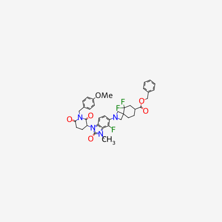 COc1ccc(CN2C(=O)CCC(n3c(=O)n(C)c4c(F)c(N5CC6(CCC(C(=O)OCc7ccccc7)CC6(F)F)C5)ccc43)C2=O)cc1